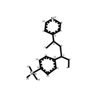 CCC(CC(C)c1ccncc1)c1ccc([Si](C)(C)C)cc1